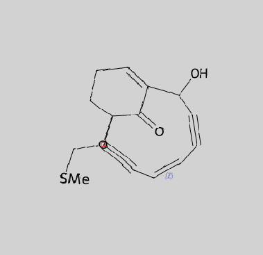 CSCOC12C#C/C=C\C#CC(O)C(=CCC1)C2=O